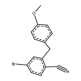 COc1ccc(Cc2cc(Br)ccc2C#N)cc1